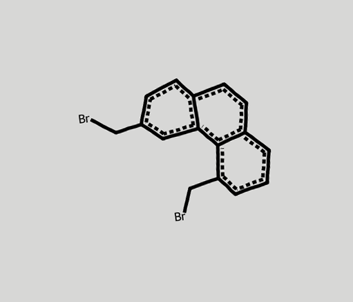 BrCc1ccc2ccc3cccc(CBr)c3c2c1